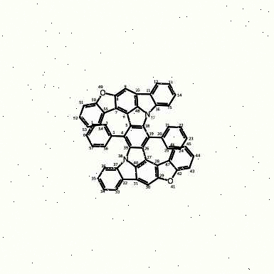 c1ccc(-c2c3c4c5c(cc6c7ccccc7n(c3c(-c3ccccc3)c3c7c8c(cc9c%10ccccc%10n(c23)c97)oc2ccccc28)c64)oc2ccccc25)cc1